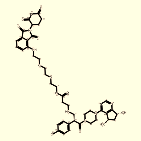 C[C@@H]1C[C@@H](O)c2ncnc(N3CCN(C(=O)[C@H](CNCCC(=O)NCCOCCOCCNc4cccc5c4C(=O)N(C4CCC(=O)NC4=O)C5=O)c4ccc(Cl)cc4)CC3)c21